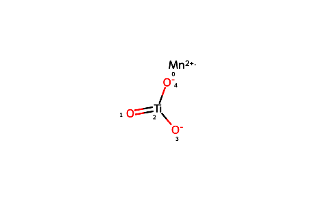 [Mn+2].[O]=[Ti]([O-])[O-]